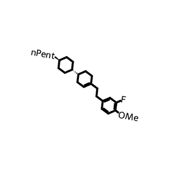 CCCCC[C@H]1CC[C@H](C2CC=C(CCc3ccc(OC)c(F)c3)CC2)CC1